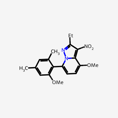 CCc1nn2c(-c3c(C)cc(C)cc3OC)ccc(OC)c2c1[N+](=O)[O-]